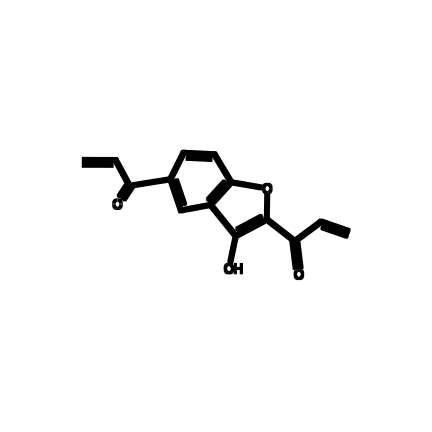 C=CC(=O)c1ccc2oc(C(=O)C=C)c(O)c2c1